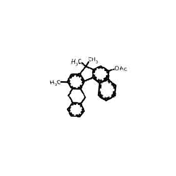 CC(=O)Oc1cc2c(c3ccccc13)-c1c(cc(C)c3c1Cc1ccccc1C3)C2(C)C